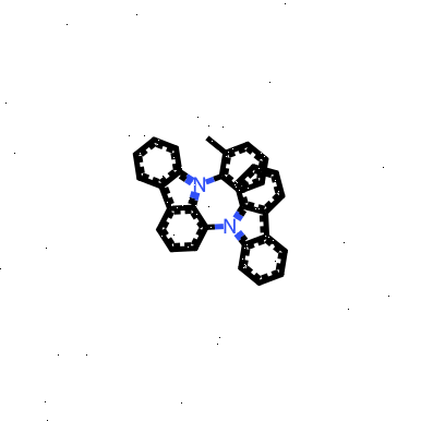 Cc1ccccc1-n1c2ccccc2c2cccc(-n3c4ccccc4c4ccccc43)c21